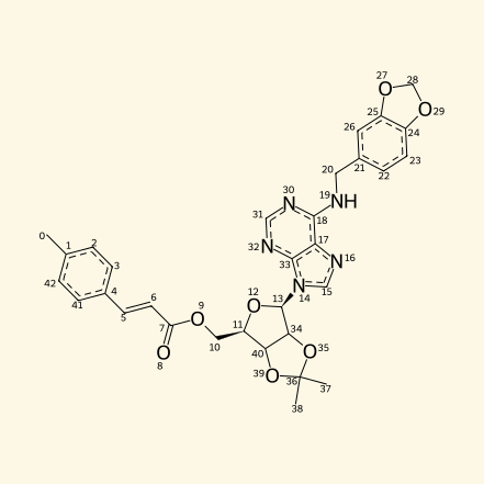 Cc1ccc(/C=C/C(=O)OC[C@H]2O[C@@H](n3cnc4c(NCc5ccc6c(c5)OCO6)ncnc43)C3OC(C)(C)OC32)cc1